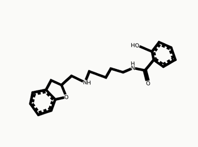 O=C(NCCCCNCC1Cc2ccccc2O1)c1ccccc1O